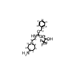 N[C@H]1CCCN(CCNC(=O)OCc2ccccc2)CC1.O=C(O)C(F)(F)F